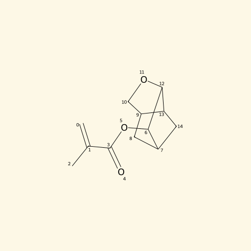 C=C(C)C(=O)OC1C2CC3COC1C3C2